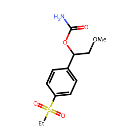 CCS(=O)(=O)c1ccc(C(COC)OC(N)=O)cc1